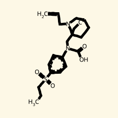 C=CCN1CC2CCC1(CN(C(=O)O)c1ccc(S(=O)(=O)CCC)cc1)CC2